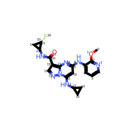 COc1ncccc1Nc1cc(NC2CC2)n2ncc(C(=O)NC3C[C@@H]3F)c2n1